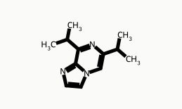 CC(C)c1cn2ccnc2c(C(C)C)n1